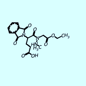 CCOC(=O)CN(NC)C(=O)C(CCC(=O)O)N1C(=O)c2ccccc2C1=O